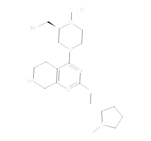 CN1CCC[C@H]1COc1nc2c(c(N3CCN(C(=O)O)[C@H](CC#N)C3)n1)CCNC2